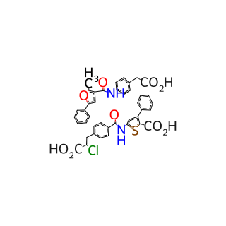 Cc1oc(-c2ccccc2)cc1C(=O)Nc1ccc(CC(=O)O)cc1.O=C(O)/C(Cl)=C/c1ccc(C(=O)Nc2cc(-c3ccccc3)c(C(=O)O)s2)cc1